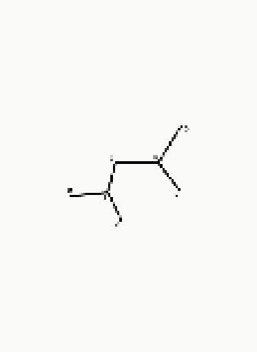 CC(C)CC(C)C